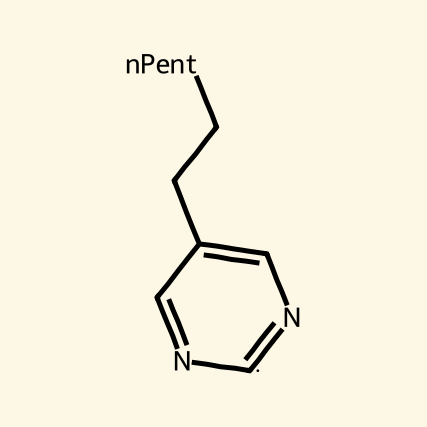 CCCCCCCc1cn[c]nc1